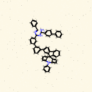 NC(NC(/N=C/c1ccccc1)c1cccc(-c2cccc(-c3ccc4c(c3)C3(c5ccccc5-4)c4ccccc4N(c4ccccc4)c4ccccc43)c2)c1)c1ccc(-c2ccccc2)cc1